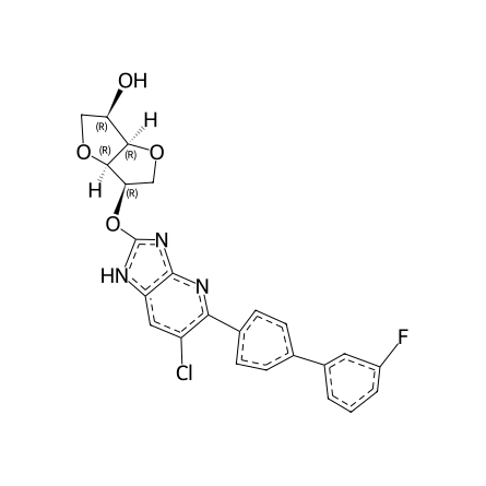 O[C@@H]1CO[C@H]2[C@@H]1OC[C@H]2Oc1nc2nc(-c3ccc(-c4cccc(F)c4)cc3)c(Cl)cc2[nH]1